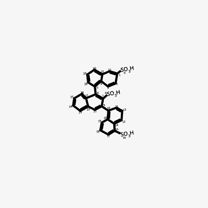 O=S(=O)(O)c1ccc2c(-c3c(S(=O)(=O)O)c(-c4cccc5c(S(=O)(=O)O)cccc45)[c]c4ccccc34)cccc2c1